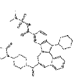 CN(C)S(=O)(=O)NC(=O)c1ccc2c(c1)N1CC(C(=O)N3CCC(N4CCCC4=O)CC3)=Cc3ccccc3C1C2C1CCCCC1